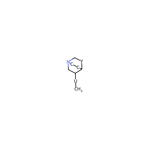 [CH3][U][CH]1CN2CC[CH]1[Y][CH2]2